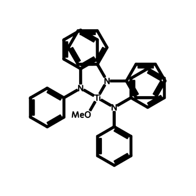 C[O][Ti]([N](c1ccccc1)c1ccccc1)([N](c1ccccc1)c1ccccc1)[N](c1ccccc1)c1ccccc1